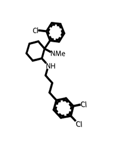 CNC1(c2ccccc2Cl)CCCCC1NCCCc1ccc(Cl)c(Cl)c1